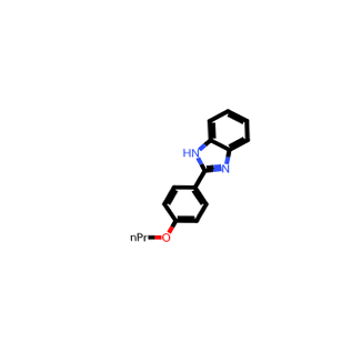 CCCOc1ccc(-c2nc3ccccc3[nH]2)cc1